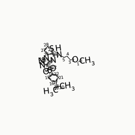 CCOCCCNc1nc2c(S(=O)(=O)c3ccc(C(C)C)cc3)nnn2c2ccsc12